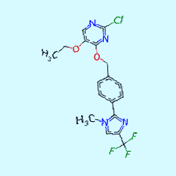 CCOc1cnc(Cl)nc1OCc1ccc(-c2nc(C(F)(F)F)cn2C)cc1